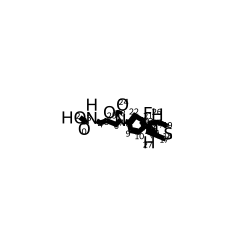 O=C(O)NCC1CN(c2ccc(N3[C@@H]4CC[C@H]3CSC4)c(F)c2)C(=O)O1